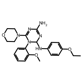 CCOc1ccc(NC2N=C(N)N=C(N3CCOCC3)N2c2ccccc2OC)cc1